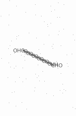 O=CCCOCCOCCOCCOCCOCCOCCOCCOCCOCCOCCNC=O